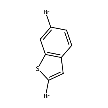 Brc1ccc2cc(Br)sc2c1